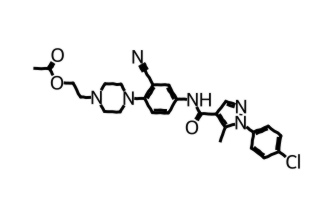 CC(=O)OCCN1CCN(c2ccc(NC(=O)c3cnn(-c4ccc(Cl)cc4)c3C)cc2C#N)CC1